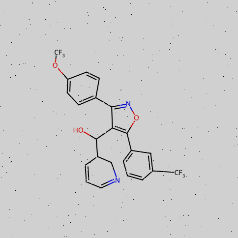 OC(c1c(-c2ccc(OC(F)(F)F)cc2)noc1-c1cccc(C(F)(F)F)c1)C1C=CC=NC1